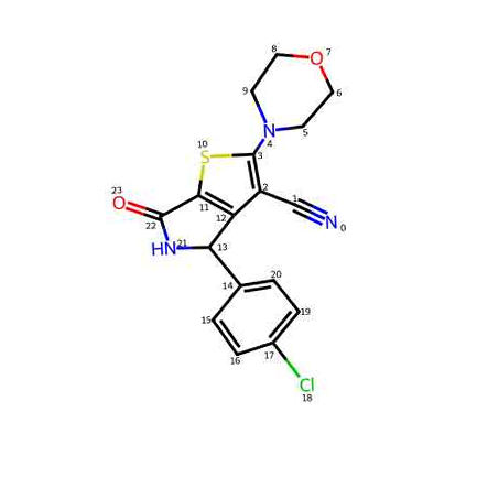 N#Cc1c(N2CCOCC2)sc2c1C(c1ccc(Cl)cc1)NC2=O